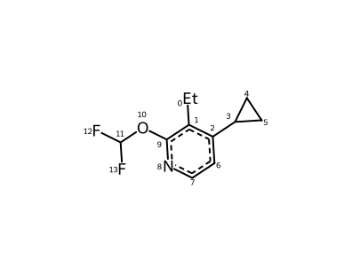 CCc1c(C2CC2)ccnc1OC(F)F